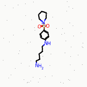 NCCCCCNc1ccc(S(=O)(=O)N2CCCCC2)cc1